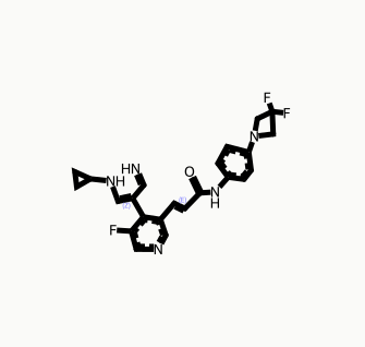 N=C/C(=C\NC1CC1)c1c(F)cncc1/C=C/C(=O)Nc1ccc(N2CC(F)(F)C2)cc1